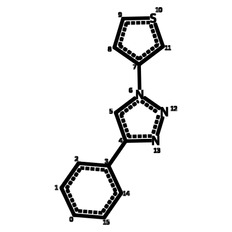 c1ccc(-c2cn(-c3ccsc3)nn2)cc1